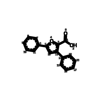 O=C(O)c1oc(-c2ccccc2)cc1-c1ccccc1